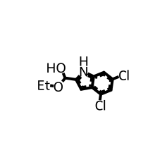 CCOC(O)c1cc2c(Cl)cc(Cl)cc2[nH]1